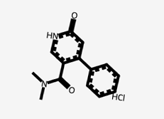 CN(C)C(=O)c1c[nH]c(=O)cc1-c1ccccc1.Cl